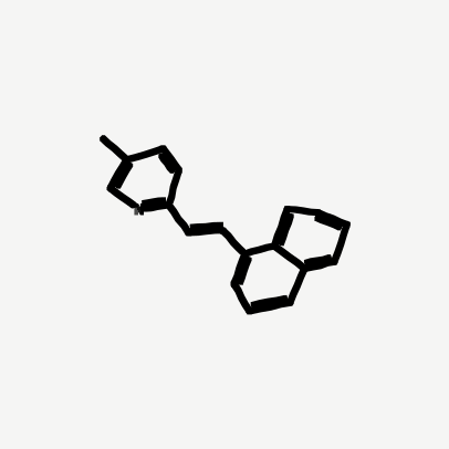 Cc1ccc(C=Cc2cccc3ccccc23)nc1